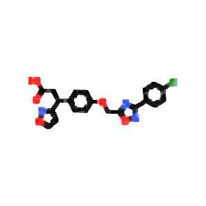 O=C(O)C[C@@H](c1ccc(OCc2nc(-c3ccc(Cl)cc3)no2)cc1)c1ccon1